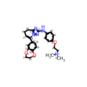 CN(C)CCOc1ccc(Nc2nc3n(n2)C(c2ccc4c(c2)OCCO4)=CCC3)cc1